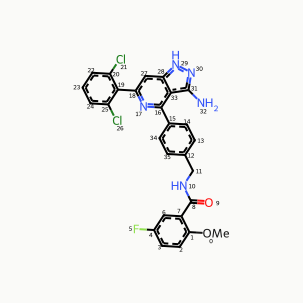 COc1ccc(F)cc1C(=O)NCc1ccc(-c2nc(-c3c(Cl)cccc3Cl)cc3[nH]nc(N)c23)cc1